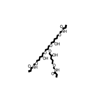 C=CC(=O)NCOCCCC(O)COCC(COCC(O)CCCOCNC(=O)C=C)OCC(O)CCCOCNC(=O)C=C